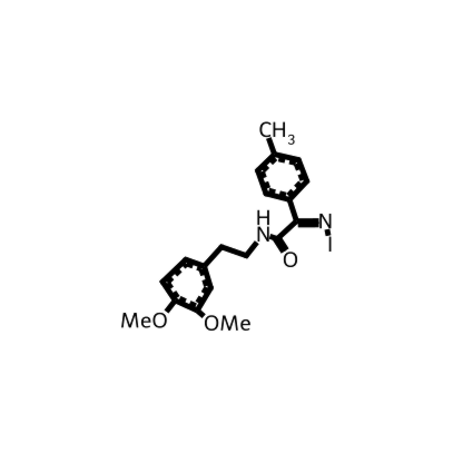 COc1ccc(CCNC(=O)/C(=N\I)c2ccc(C)cc2)cc1OC